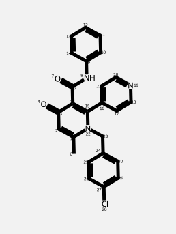 Cc1cc(=O)c(C(=O)Nc2ccccc2)c(-c2ccncc2)n1Cc1ccc(Cl)cc1